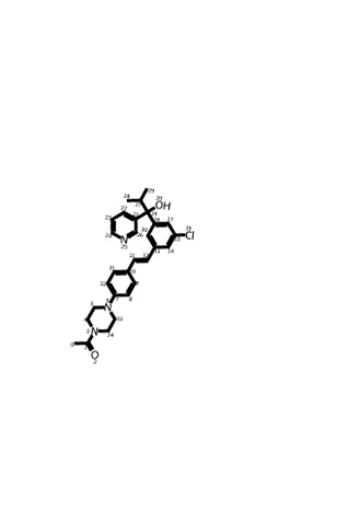 CC(=O)N1CCN(c2ccc(C=Cc3cc(Cl)cc(C(O)(c4cccnc4)C(C)C)c3)cc2)CC1